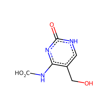 O=C(O)Nc1nc(=O)[nH]cc1CO